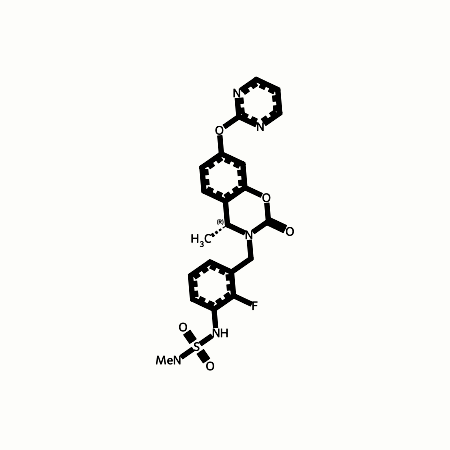 CNS(=O)(=O)Nc1cccc(CN2C(=O)Oc3cc(Oc4ncccn4)ccc3[C@H]2C)c1F